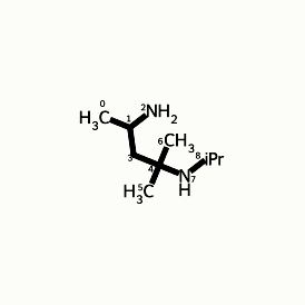 CC(N)CC(C)(C)NC(C)C